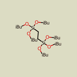 CCC(C)O[Si](CC[Si](OC(C)CC)(OC(C)CC)OC(C)CC)(OC(C)CC)OC(C)CC